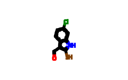 O=Cc1c(S)[nH]c2cc(Cl)ccc12